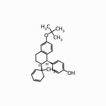 CC(C)(C)Oc1ccc2c(c1)CC[C@H](C1(C)C=CC=CC1)[C@@H]2c1ccc(O)cc1